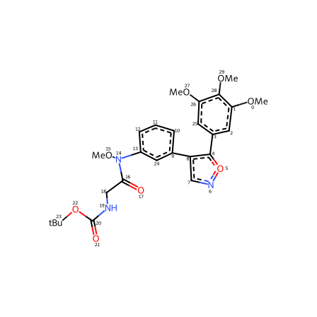 COc1cc(-c2oncc2-c2cccc(N(OC)C(=O)CNC(=O)OC(C)(C)C)c2)cc(OC)c1OC